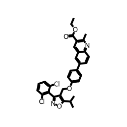 CCOC(=O)c1cc2cc(-c3ccc(OCc4c(-c5c(Cl)cccc5Cl)noc4C(C)C)cc3)ccc2nc1C